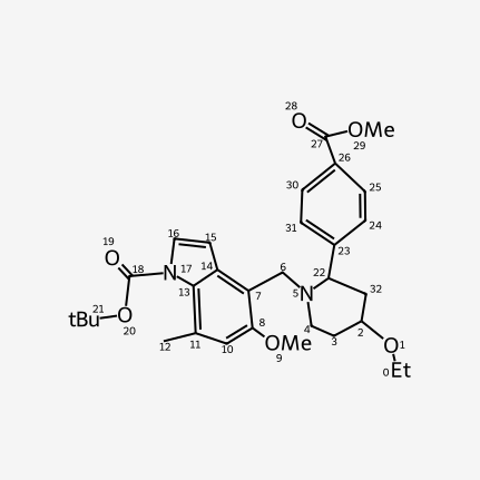 CCOC1CCN(Cc2c(OC)cc(C)c3c2ccn3C(=O)OC(C)(C)C)C(c2ccc(C(=O)OC)cc2)C1